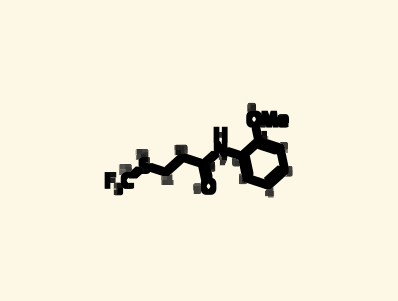 COc1ccccc1NC(=O)CCSC(F)(F)F